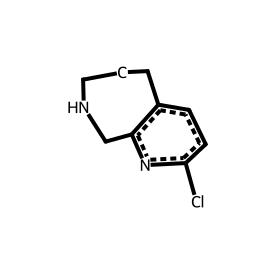 Clc1ccc2c(n1)CNCCC2